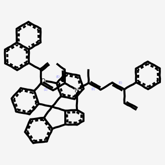 C=C/C(=C\C=C(/C)N(C(/C=C\C(=C)c1cccc2ccccc12)=C/C)c1cccc2c1C1(c3ccccc3Oc3ccccc31)c1ccccc1-2)c1ccccc1